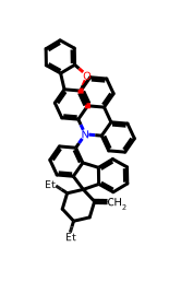 C=C1CC(CC)CC(CC)C12c1ccccc1-c1c(N(c3ccc4c(c3)oc3ccccc34)c3ccccc3-c3ccccc3)cccc12